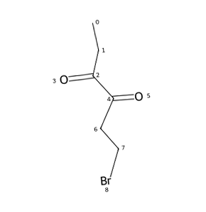 CCC(=O)C(=O)CCBr